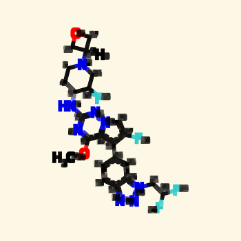 [2H]C1(N2CC[C@@H](Nc3nc(OC)c4c(-c5ccc6nnn(CC(F)F)c6c5)c(F)cn4n3)[C@H](F)C2)COC1